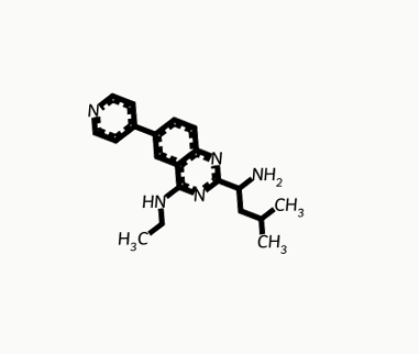 CCNc1nc(C(N)CC(C)C)nc2ccc(-c3ccncc3)cc12